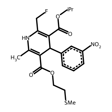 CSCCOC(=O)C1=C(C)NC(CF)=C(C(=O)OC(C)C)C1c1cccc([N+](=O)[O-])c1